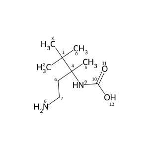 CC(C)(C)C(C)(CCN)NC(=O)O